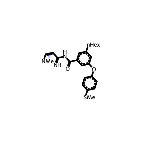 CCCCCCc1cc(Oc2ccc(SC)cc2)cc(C(=O)NC(=N)/C=C\NC)c1